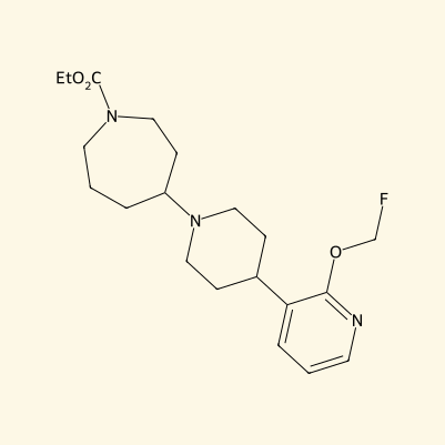 CCOC(=O)N1CCCC(N2CCC(c3cccnc3OCF)CC2)CC1